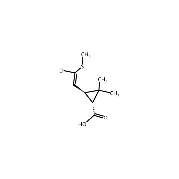 CS/C(Cl)=C\[C@@H]1[C@@H](C(=O)O)C1(C)C